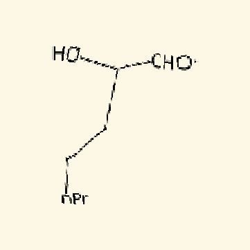 CCCCCC(O)[C]=O